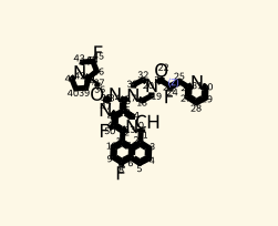 C#Cc1cccc2c(F)ccc(-c3ncc4c(N5CCN(C(=O)/C(F)=C/c6ccccn6)CC5)nc(OC[C@@]56CCCN5C[C@H](F)C6)nc4c3F)c12